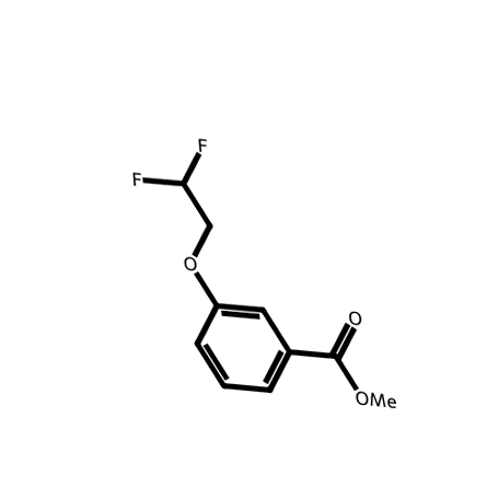 COC(=O)c1cccc(OCC(F)F)c1